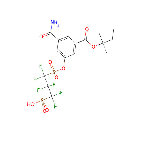 CCC(C)(C)OC(=O)c1cc(OS(=O)(=O)C(F)(F)C(F)(F)C(F)(F)S(=O)(=O)O)cc(C(N)=O)c1